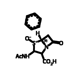 CC(=O)NC1C(C(=O)O)N2C(=O)C[C@H]2[S+]1[O-].c1ccccc1